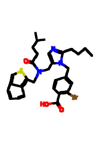 CCCCc1ncc(CN(Cc2scc3ccccc23)C(=O)CCC(C)C)n1Cc1ccc(C(=O)O)c(Br)c1